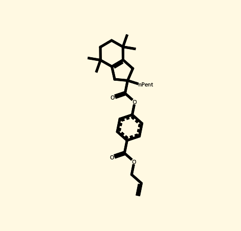 C=CCOC(=O)c1ccc(OC(=O)C2(CCCCC)CC3=C(C2)C(C)(C)CCC3(C)C)cc1